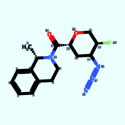 C[C@H]1c2ccccc2CCN1C(=O)[C@H]1CC(N=[N+]=[N-])[C@H](F)CO1